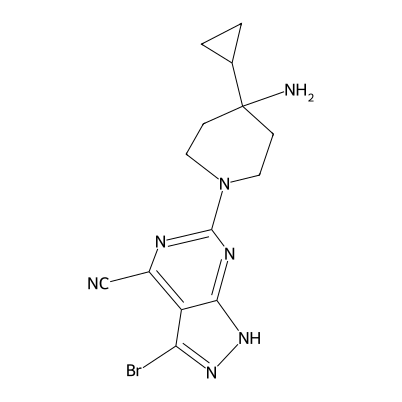 N#Cc1nc(N2CCC(N)(C3CC3)CC2)nc2[nH]nc(Br)c12